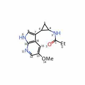 CCC(=O)NC1CC1c1c[nH]c2ncc(OC)cc12